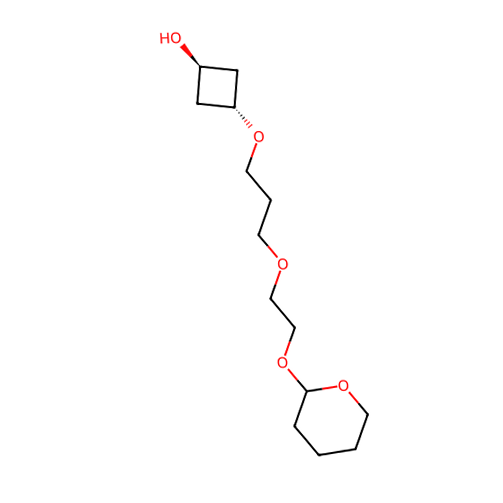 O[C@H]1C[C@H](OCCCOCCOC2CCCCO2)C1